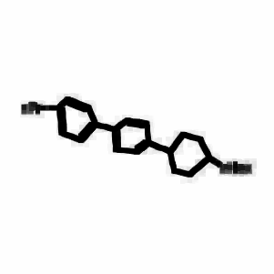 CCCCCCC1CCC(c2ccc(-c3ccc(CCC)cc3)cc2)CC1